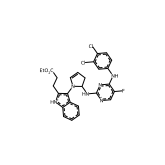 CCOC(=O)CCc1[nH]c2ccccc2c1N1C=CCC1Nc1ncc(F)c(Nc2ccc(Cl)c(Cl)c2)n1